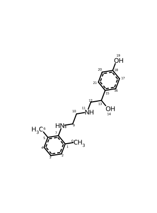 Cc1cccc(C)c1NCCNCC(O)c1ccc(O)cc1